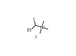 CCC(I)[N+](C)(C)C.[I-]